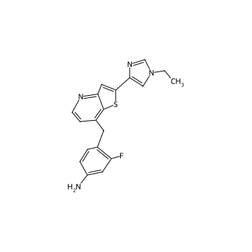 CCn1cnc(-c2cc3nccc(Cc4ccc(N)cc4F)c3s2)c1